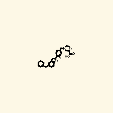 O=C(O)C1CN(Cc2ccc(-c3cc4cc(Cc5ccccc5)ccc4o3)c(F)c2)CCO1